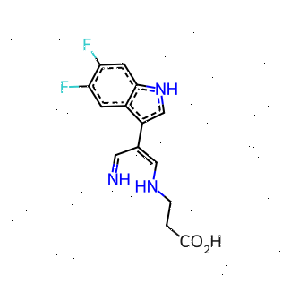 N=C/C(=C\NCCC(=O)O)c1c[nH]c2cc(F)c(F)cc12